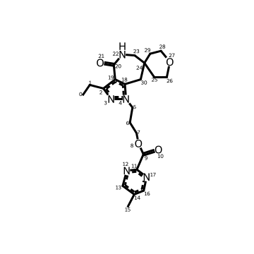 CCc1nn(CCCOC(=O)c2ncc(C)cn2)c2c1C(=O)NCC1(CCOCC1)C2